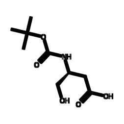 CC(C)(C)OC(=O)N[C@H](CO)CC(=O)O